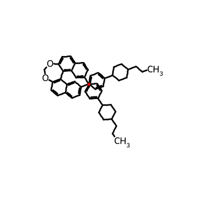 CCCC1CCC(c2ccc(-c3ccc4ccc5c(c4c3)-c3c(ccc4ccc(-c6ccc(C7CCC(CCC)CC7)cc6)cc34)OCO5)cc2)CC1